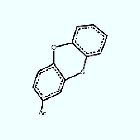 CC(=O)c1ccc2c(c1)Sc1ccccc1O2